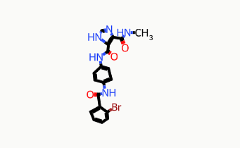 CNC(=O)c1nc[nH]c1C(=O)Nc1ccc(NC(=O)c2ccccc2Br)cc1